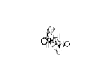 CCCC[C@H](NC(=O)C1(NC(=O)N2CCOCC2)CCCCC1)C(=O)C(=O)NC1(C)CCCC1